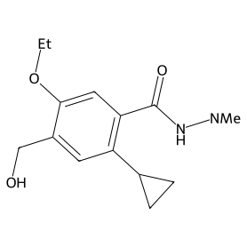 CCOc1cc(C(=O)NNC)c(C2CC2)cc1CO